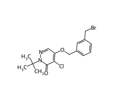 CC(C)(C)n1ncc(OCc2cccc(CBr)c2)c(Cl)c1=O